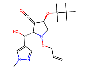 C=CCON1C[C@H](O[Si](C)(C)C(C)(C)C)C(=C=O)[C@H]1C(O)c1cnn(C)c1